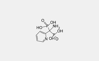 NC(c1ccccn1)(P(=O)(O)O)P(=O)(O)O